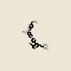 CCc1ccc(CNC2(C)CC3CN(c4ccc(-c5cc(CCC(C)C)cn6ncc(C#N)c56)cn4)CC3C2)cn1